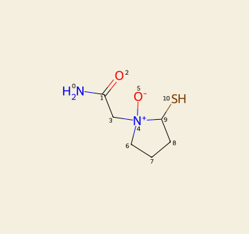 NC(=O)C[N+]1([O-])CCCC1S